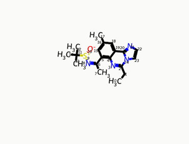 CCc1nc2c(/C(C)=N\[S@+]([O-])C(C)(C)C)cc(C)cc2c2nccn12